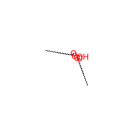 CCCCCCCCCC=CC=CC=CC=CC=CC=CC(=O)OC[C@H](CO)OC(=O)C=CC=CC=CC=CC=CC=CCCCCCCCCC